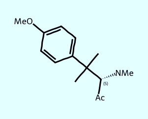 CN[C@H](C(C)=O)C(C)(C)c1ccc(OC)cc1